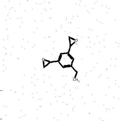 CCc1cc(C2CO2)cc(C2CO2)c1